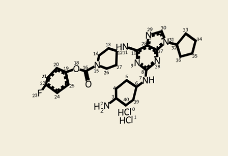 Cl.Cl.NC1CCC(Nc2nc(NC3CCN(C(=O)Oc4ccc(F)cc4)CC3)c3ncn(C4CCCC4)c3n2)CC1